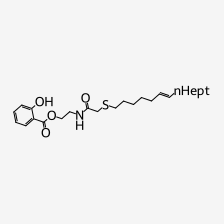 CCCCCCCC=CCCCCCSCC(=O)NCCOC(=O)c1ccccc1O